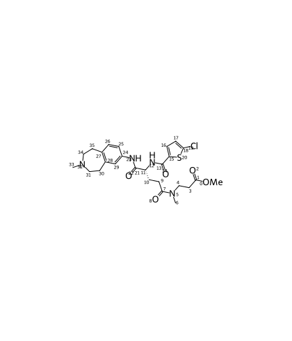 COC(=O)CCN(C)C(=O)CC[C@@H](NC(=O)c1ccc(Cl)s1)C(=O)Nc1ccc2c(c1)CCN(C)CC2